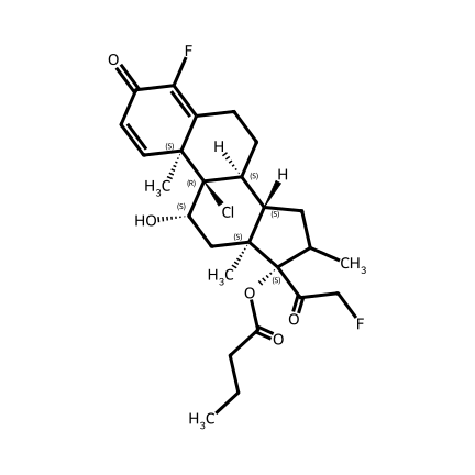 CCCC(=O)O[C@@]1(C(=O)CF)C(C)C[C@H]2[C@@H]3CCC4=C(F)C(=O)C=C[C@]4(C)[C@@]3(Cl)[C@@H](O)C[C@@]21C